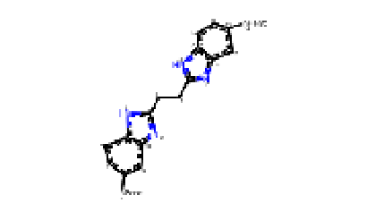 CCCCCc1ccc2[nH]c(CCc3nc4cc(CCCCC)ccc4[nH]3)nc2c1